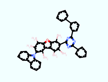 Bc1c(-n2c3ccccc3c3ccccc32)c(B)c2c(oc3c(B)c(-c4nc(-c5ccccc5)nc(-c5cccc(-c6ccccc6)c5)n4)c(B)c(B)c32)c1B